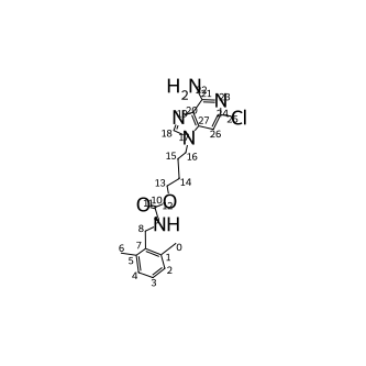 Cc1cccc(C)c1CNC(=O)OCCCCn1cnc2c(N)nc(Cl)cc21